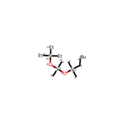 CCC(C)C[Si](C)(C)O[Si](C)(C)O[Si](CC)(CC)CC